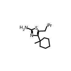 CC(C)Cc1sc(N)nc1C1(C)CCCCC1